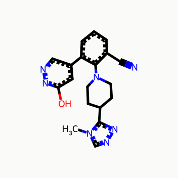 Cn1cnnc1C1CCN(c2c(C#N)cccc2-c2cnnc(O)c2)CC1